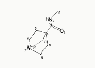 CNC(=O)C12CCN(CC1)CC2